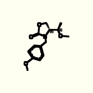 COc1ccc(CN2C(=O)OC[C@@H]2[C@@H](C)OC)cc1